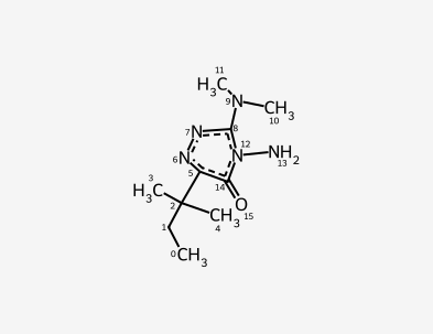 CCC(C)(C)c1nnc(N(C)C)n(N)c1=O